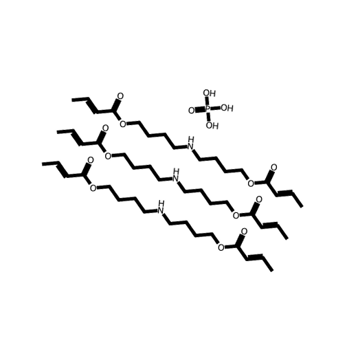 CC=CC(=O)OCCCCNCCCCOC(=O)C=CC.CC=CC(=O)OCCCCNCCCCOC(=O)C=CC.CC=CC(=O)OCCCCNCCCCOC(=O)C=CC.O=P(O)(O)O